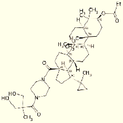 CCC(=O)O[C@H]1CC[C@]2(C)[C@H]3CC[C@@H]4[C@H]5[C@H](C6(C)CC6)CC[C@]5(C(=O)N5CCN(C(=O)C(C)(CO)CO)CC5)CC[C@@]4(C)[C@]3(C)CC[C@H]2C1(C)C